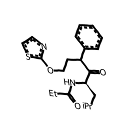 CCC(=O)N[C@H](CC(C)C)C(=O)C(CCOc1nccs1)c1ccccc1